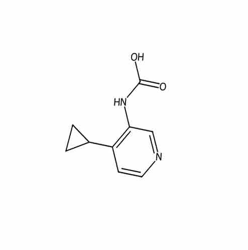 O=C(O)Nc1cnccc1C1CC1